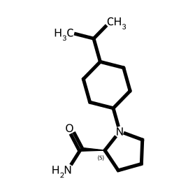 CC(C)C1CCC(N2CCC[C@H]2C(N)=O)CC1